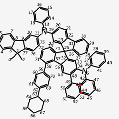 CC1(C)c2ccccc2-c2cc(N(c3ccccc3)c3ccc4c(c3)C3(c5ccccc5-4)c4cc(N(c5ccccc5)c5ccccc5)c(-c5ccccc5)cc4-c4c(-c5ccc(C6CCCCC6)cc5)cccc43)ccc21